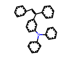 C(=C(c1ccccc1)c1cccc(N(c2ccccc2)c2ccccc2)c1)c1ccccc1